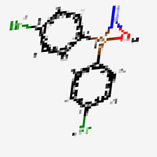 Brc1ccc(S2(c3ccc(Br)cc3)NO2)cc1